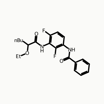 CCCCC(OCC)C(=O)Nc1c(F)ccc(NC(=O)c2ccccc2)c1F